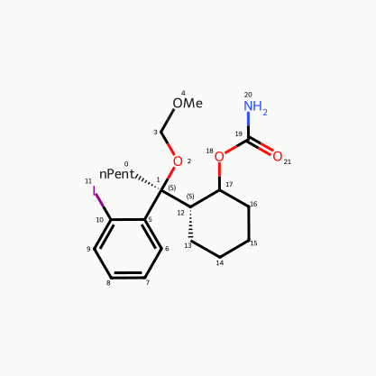 CCCCC[C@@](OCOC)(c1ccccc1I)[C@H]1CCCCC1OC(N)=O